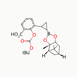 CC(C)(C)OC(=O)Oc1c(C(=O)O)cccc1C1CC1B1OC2C[C@@H]3C[C@@H](C3(C)C)[C@]2(C)O1